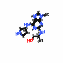 CC[C@@H](CO)Nc1nc(N[C@H]2CCNC2)c2ncn(CC)c2n1